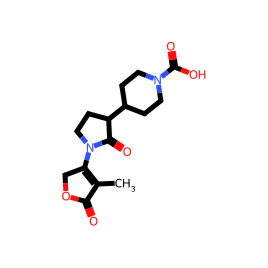 CC1=C(N2CCC(C3CCN(C(=O)O)CC3)C2=O)COC1=O